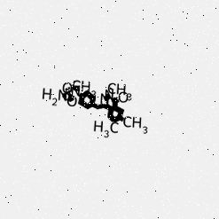 Cc1cc2c(Cc3ccc(N(C)S(N)(=O)=O)cc3)nn(C)c(=O)c2cc1C